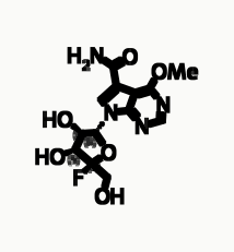 COc1ncnc2c1c(C(N)=O)cn2[C@@H]1O[C@](F)(CO)[C@@H](O)[C@H]1O